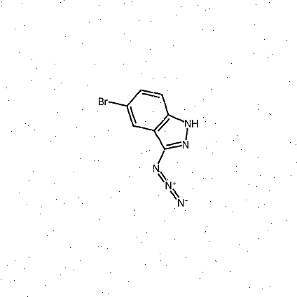 [N-]=[N+]=Nc1n[nH]c2ccc(Br)cc12